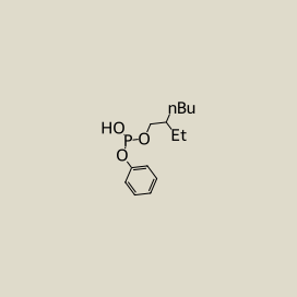 CCCCC(CC)COP(O)Oc1ccccc1